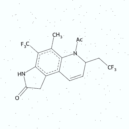 CC(=O)N1c2c(C)c(C(F)(F)F)c3c(c2C=CC1CC(F)(F)F)CC(=O)N3